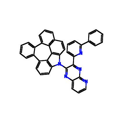 c1ccc(-c2cccc(-c3nc4ncccc4nc3-n3c4cccc5c4c4c6c(cccc6ccc43)-c3ccccc3-5)n2)cc1